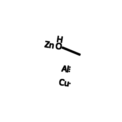 CO.[Al].[Cu].[Zn]